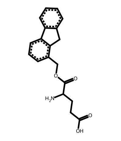 NC(CCC(=O)O)C(=O)OCc1cccc2c1Cc1ccccc1-2